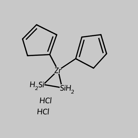 C1=CC[C]([Zr]2([C]3=CC=CC3)[SiH2][SiH2]2)=C1.Cl.Cl